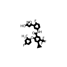 Cc1cc(F)ccc1Oc1cc(C2CC2)c(C(F)(F)F)cc1C(=O)Nc1ccc(F)c(-c2cc(O)no2)c1